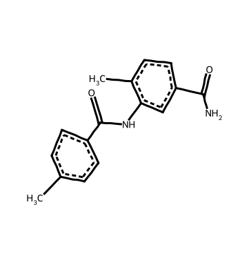 Cc1ccc(C(=O)Nc2cc(C(N)=O)ccc2C)cc1